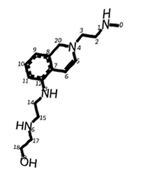 CNCCN1C=Cc2c(cccc2NCCNCCO)C1